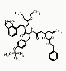 C=CCC(CC(=O)NC(Cc1ccc(OC(C)(C)C)cc1)C(=O)N(Cc1cccc2cn[nH]c12)CC(OCC)OCC)NC(=O)NCc1ccccc1